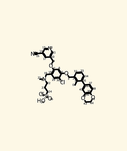 Cc1c(COc2cc(OCc3cncc(C#N)c3)c(CN(C)CCCS(=O)(=O)O)cc2Cl)cccc1-c1ccc2c(c1)OCCO2